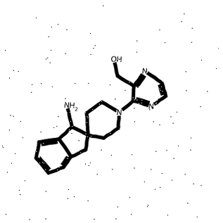 NC1c2ccccc2CC12CCN(c1nccnc1CO)CC2